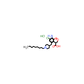 CCCCCCCCCN1CCC(Cc2cc(Cl)c(N)c3c2C(C(=O)O)COO3)CC1.Cl